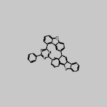 CC1C=c2sc3ccccc3c2=CC1c1ccc2oc3cccc(-c4nc(-c5ccccc5)nc(-c5ccccc5)n4)c3c2c1